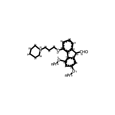 CCCOc1cc(OCCC)c2c(c1)C(C=O)c1cccc(OCCCN3CCCCC3)c1-2